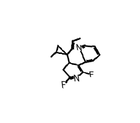 CC=CC1(C2CC(F)=NC(F)=C2c2ccccn2)CC1C